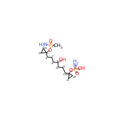 CP(N)(=O)OC1(CCCC(O)CCCC2(OP(N)(=O)O)CC2)CC1